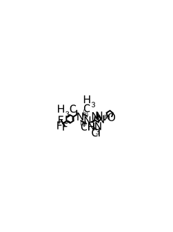 CCC(c1ccc(C(F)(F)F)cc1)N1C[C@H](C)N(c2nc(Cl)nc3c2nnn3C[C@H]2CCCO2)C[C@H]1CC